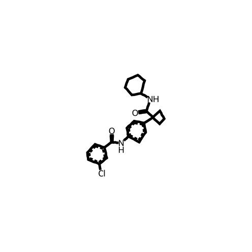 O=C(Nc1ccc(C2(C(=O)NC3CCCCC3)CCC2)cc1)c1cccc(Cl)c1